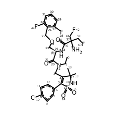 CCN(CC1=C(c2ccc(Cl)cc2)S(=O)(=O)NC1(C)C)C(=O)[C@@H](COCc1c(F)cccc1F)NC(=O)C(N)(CF)CF